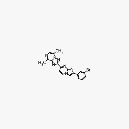 Cc1ncc(C)n2nc(-c3ccn4cc(-c5cccc(Br)c5)nc4n3)nc12